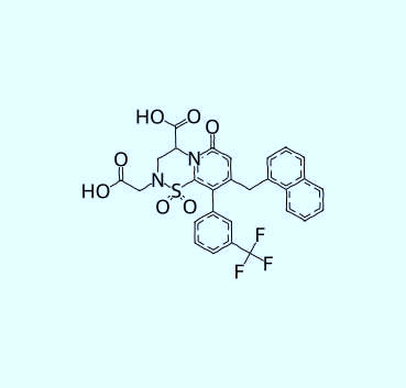 O=C(O)CN1CC(C(=O)O)n2c(c(-c3cccc(C(F)(F)F)c3)c(Cc3cccc4ccccc34)cc2=O)S1(=O)=O